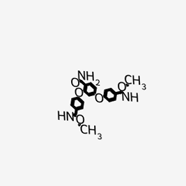 CCOC(=N)c1ccc(Oc2ccc(C(N)=O)c(Oc3ccc(C(=N)OCC)cc3)c2)cc1